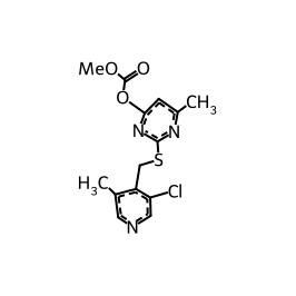 COC(=O)Oc1cc(C)nc(SCc2c(C)cncc2Cl)n1